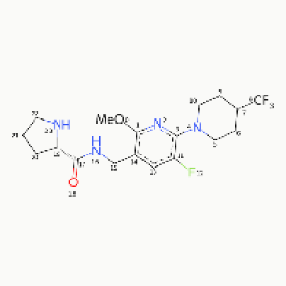 COc1nc(N2CCC(C(F)(F)F)CC2)c(F)cc1CNC(=O)[C@@H]1CCCN1